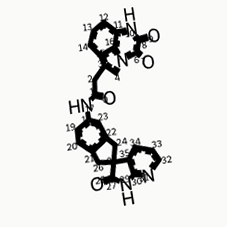 O=C(Cc1cn2c(=O)c(=O)[nH]c3cccc1c32)Nc1ccc2c(c1)CC1(C2)C(=O)Nc2ncccc21